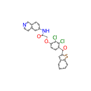 O=C(COc1ccc(C(=O)c2cc3ccccc3s2)c(Cl)c1Cl)Nc1ccc2cnccc2c1